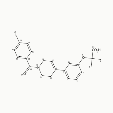 CC(C)(Oc1cccc(C2=CCN(C(=O)c3ccc(I)cc3)CC2)c1)C(=O)O